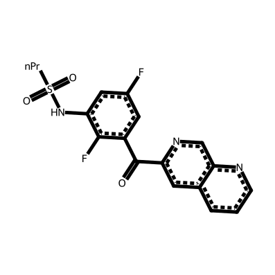 CCCS(=O)(=O)Nc1cc(F)cc(C(=O)c2cc3cccnc3cn2)c1F